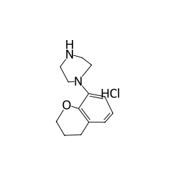 Cl.c1cc2c(c(N3CCNCC3)c1)OCCC2